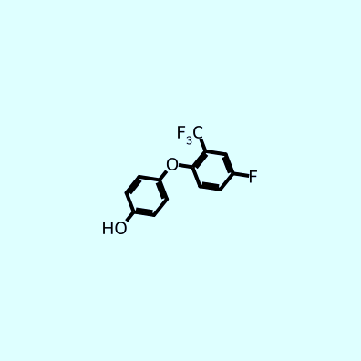 Oc1ccc(Oc2ccc(F)cc2C(F)(F)F)cc1